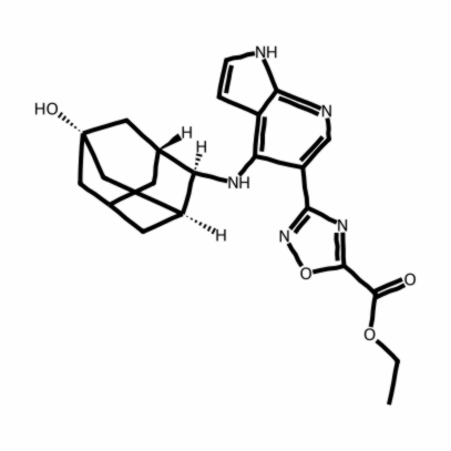 CCOC(=O)c1nc(-c2cnc3[nH]ccc3c2N[C@@H]2[C@@H]3CC4C[C@H]2C[C@@](O)(C4)C3)no1